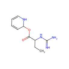 CCC(NC(=N)N)C(=O)OC1C=CC=CN1